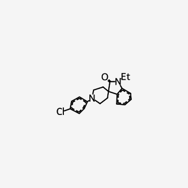 CCN1C(=O)C2(CCN(c3ccc(Cl)cc3)CC2)c2ccccc21